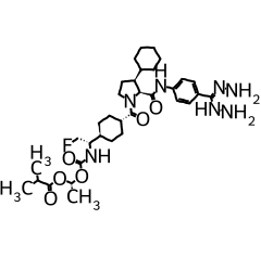 CC(C)C(=O)O[C@@H](C)OC(=O)N[C@H](CF)[C@H]1CC[C@H](C(=O)N2CC[C@@H](C3CCCCC3)[C@H]2C(=O)Nc2ccc(/C(=N/N)NN)cc2)CC1